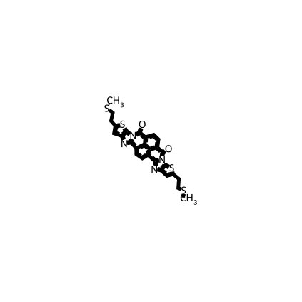 CSCCc1cc2nc3c4ccc5c6c(ccc(c(=O)n3c2s1)c46)c(=O)n1c5nc2cc(CCSC)sc21